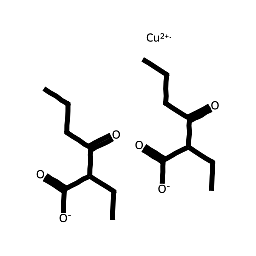 CCCC(=O)C(CC)C(=O)[O-].CCCC(=O)C(CC)C(=O)[O-].[Cu+2]